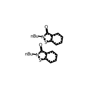 CCCCn1sc2ccccc2c1=O.CCCCn1sc2ccccc2c1=O